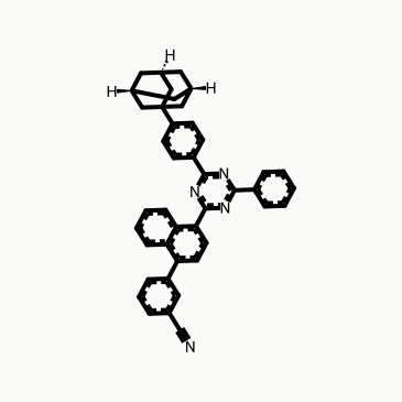 N#Cc1cccc(-c2ccc(-c3nc(-c4ccccc4)nc(-c4ccc(C56C[C@H]7C[C@@H](C5)C[C@@H](C6)C7)cc4)n3)c3ccccc23)c1